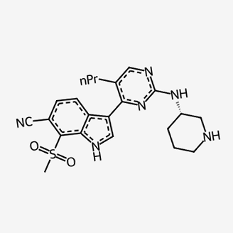 CCCc1cnc(N[C@H]2CCCNC2)nc1-c1c[nH]c2c(S(C)(=O)=O)c(C#N)ccc12